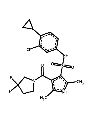 Cc1[nH]c(C)c(S(=O)(=O)Nc2ccc(C3CC3)c(Cl)c2)c1C(=O)N1CCC(F)(F)C1